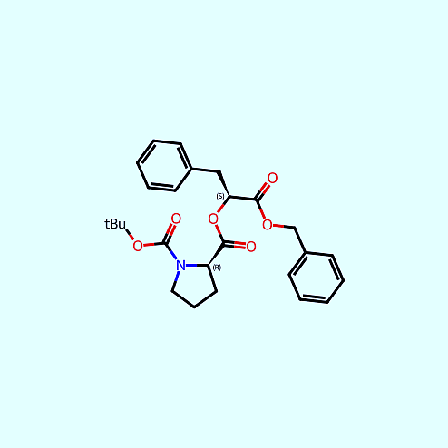 CC(C)(C)OC(=O)N1CCC[C@@H]1C(=O)O[C@@H](Cc1ccccc1)C(=O)OCc1ccccc1